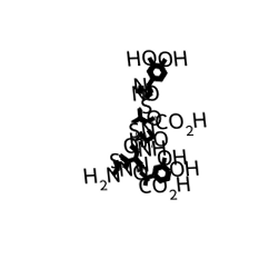 Nc1nc(C(=NOC(C(=O)O)c2ccc(O)c(O)c2)C(=O)N[C@@H]2C(=O)N3C(OC(=O)O)=C(CSc4nnc(-c5ccc(O)c(O)c5)o4)CS[C@@H]23)cs1